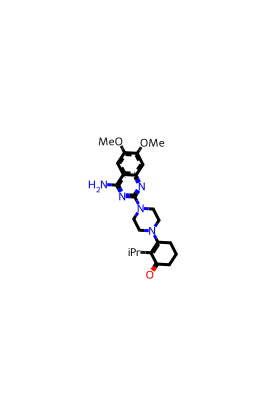 COc1cc2nc(N3CCN(C4=C(C(C)C)C(=O)CCC4)CC3)nc(N)c2cc1OC